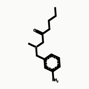 CCCCC(=O)CN(C)Cc1cccc(N)c1